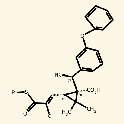 CC(C)SC(=O)C(Cl)=C[C@H]1C(C)(C)[C@]1(C(=O)O)[C@@H](C#N)c1cccc(Oc2ccccc2)c1